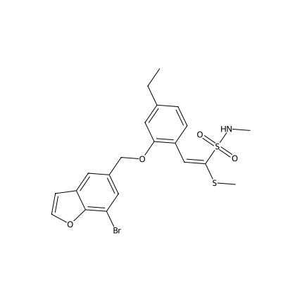 CCc1ccc(C=C(SC)S(=O)(=O)NC)c(OCc2cc(Br)c3occc3c2)c1